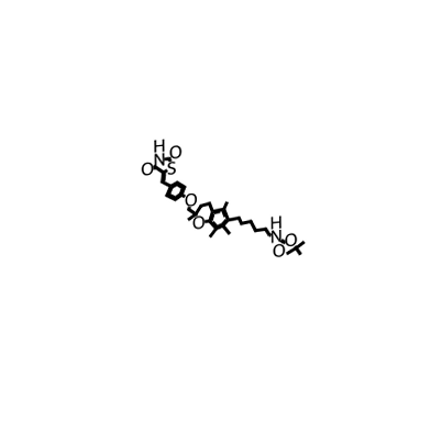 Cc1c(C)c2c(c(C)c1CCCCCCNC(=O)OC(C)(C)C)CCC(C)(COc1ccc(/C=C3\SC(=O)NC3=O)cc1)O2